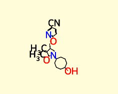 CC1(C)C(=O)N(C2CCCC(O)CCC2)CC1COc1ccc(C#N)cn1